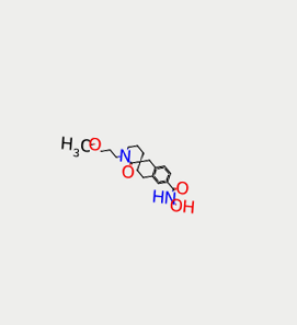 COCCCN1CCC[C@@]2(CCc3cc(C(=O)NO)ccc3C2)C1=O